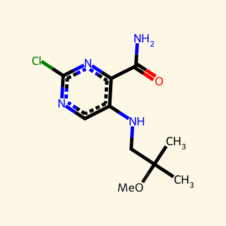 COC(C)(C)CNc1cnc(Cl)nc1C(N)=O